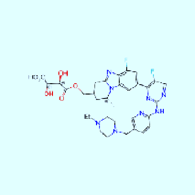 CCN1CCN(Cc2ccc(Nc3ncc(F)c(-c4cc(F)c5nc6n(c5c4)[C@H](C)CC(COC(=O)[C@H](O)[C@@H](O)C(=O)O)C6)n3)nc2)CC1